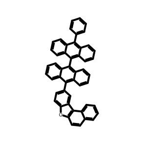 c1ccc(-c2c3ccccc3c(-c3c4ccccc4c(-c4ccc5oc6ccc7ccccc7c6c5c4)c4ccccc34)c3ccccc23)cc1